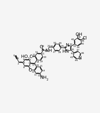 C#C/C=c1\ccc2c(c1)Oc1cc(N)ccc1C=2c1ccc(C(=O)NCc2ccc(-c3nc(-c4ccc(Cl)c(O)c4)c(-c4ccncc4)[nH]3)cc2)cc1C(=O)O